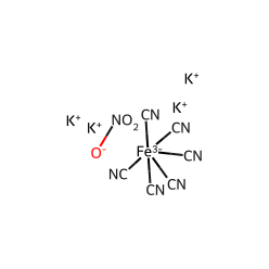 N#[C][Fe-3]([C]#N)([C]#N)([C]#N)([C]#N)[C]#N.O=[N+]([O-])[O-].[K+].[K+].[K+].[K+]